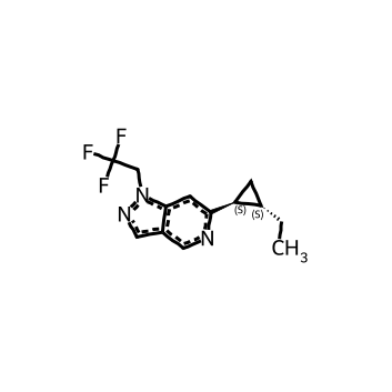 CC[C@H]1C[C@@H]1c1cc2c(cn1)cnn2CC(F)(F)F